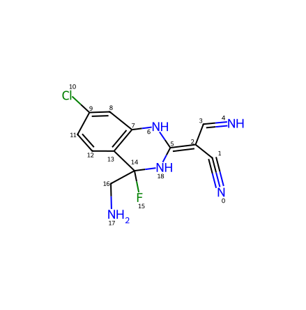 N#C/C(C=N)=C1/Nc2cc(Cl)ccc2C(F)(CN)N1